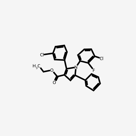 CCOC(=O)c1cc(-c2ccccc2)n(-c2cccc(Cl)c2F)c1-c1cccc(Cl)c1